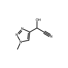 Cn1cc(C(O)C#N)nn1